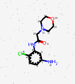 Nc1ccc(Cl)c(NC(=O)CN2CCOCC2)c1